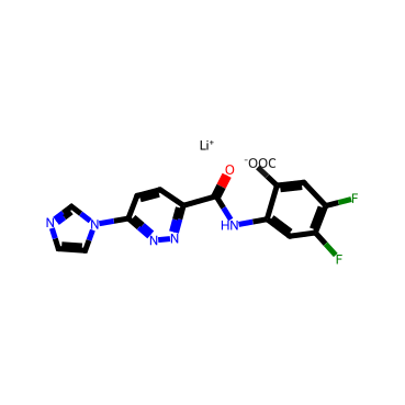 O=C(Nc1cc(F)c(F)cc1C(=O)[O-])c1ccc(-n2ccnc2)nn1.[Li+]